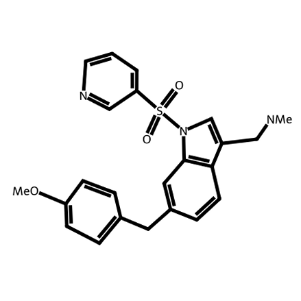 CNCc1cn(S(=O)(=O)c2cccnc2)c2cc(Cc3ccc(OC)cc3)ccc12